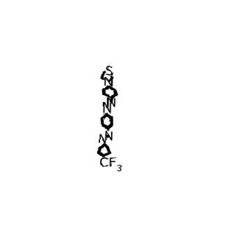 FC(F)(F)c1ccc(N=Nc2ccc(N=Nc3ccc(N4CCSC4)cc3)cc2)cc1